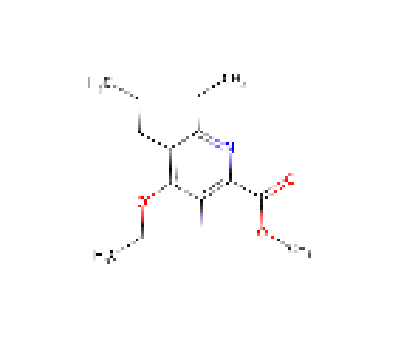 CCCc1c(CC)nc(C(=O)OC)c(I)c1OCC